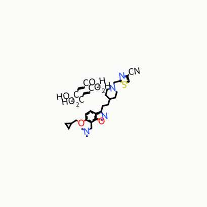 CN(C)Cc1c(OCC2CC2)ccc2c(CCC3CCN(Cc4nc(C#N)cs4)CC3)noc12.O=C(O)C=CC(=O)O.O=C(O)C=CC(=O)O